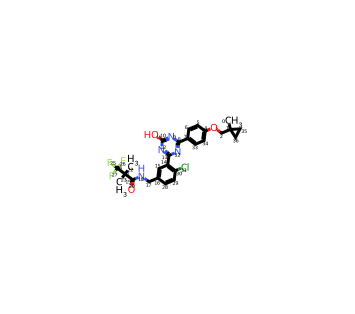 CC1(COc2ccc(-c3nc(O)nc(-c4cc(CNC(=O)C(C)(C)C(F)(F)F)ccc4Cl)n3)cc2)CC1